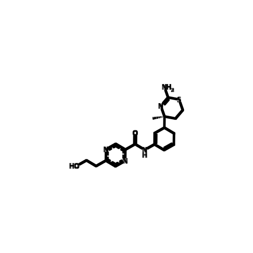 C[C@@]1(C2C=C(NC(=O)c3cnc(CCO)cn3)C=CC2)CCSC(N)=N1